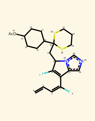 C=C/C=C(/F)C1=C(F)C(CC2(C3CCC(OC(C)=O)CC3)SCCCS2)n2cncc21